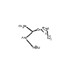 CCCCNC(C)[N+](=O)[O-].O=[N+]([O-])O